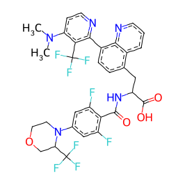 CN(C)c1ccnc(-c2ccc(CC(NC(=O)c3c(F)cc(N4CCOCC4C(F)(F)F)cc3F)C(=O)O)c3cccnc23)c1C(F)(F)F